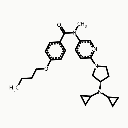 CCCCOc1ccc(C(=O)N(C)c2ccc(N3CC[C@@H](N(C4CC4)C4CC4)C3)nc2)cc1